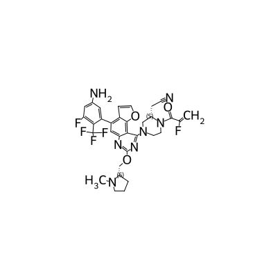 C=C(F)C(=O)N1CCN(c2nc(OC[C@@H]3CCCN3C)nc3cc(-c4cc(N)cc(F)c4C(F)(F)F)c4ccoc4c23)C[C@@H]1CC#N